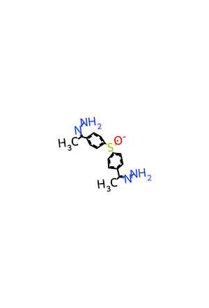 C/C(=N/N)c1ccc([S+]([O-])c2ccc(/C(C)=N\N)cc2)cc1